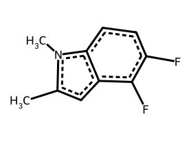 Cc1cc2c(F)c(F)ccc2n1C